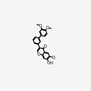 COc1ccc(-c2cccc(-c3coc4cc(O)c(Cl)cc4c3=O)c2)cc1OC